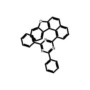 c1ccc(-c2nc(-c3ccccc3)nc(-c3cccc4ccc5oc6ccccc6c5c34)n2)cc1